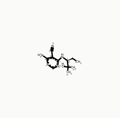 CC[C@H](Nc1ncnc(N)c1C#N)C(C)(C)C